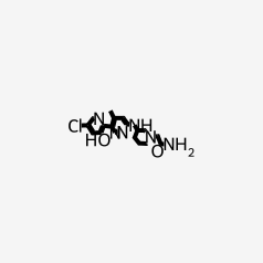 Cc1cc(NC2CCCN(CC(N)=O)C2)nnc1-c1ncc(Cl)cc1O